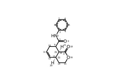 O=C(Nc1ccccc1)C1CC=C[C@@H]2CCOC(=O)[C@H]12